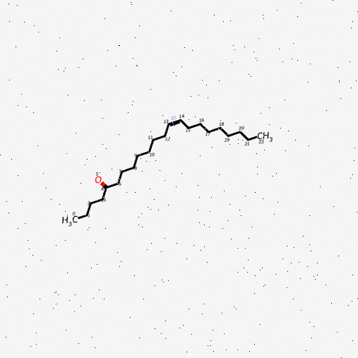 CCC[CH]C(=O)CCCCCCC/C=C\CCCCCCCC